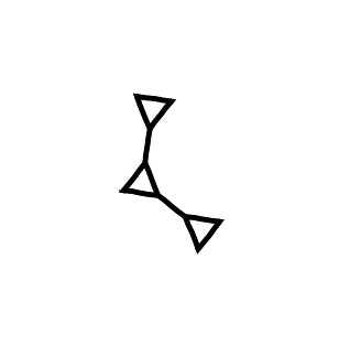 [CH]1C(C2CC2)C1C1CC1